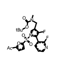 CC(=O)c1ccc(S(=O)(=O)n2cc(CN(C)C(=O)OC(C)(C)C)c(F)c2-c2cccnc2F)o1